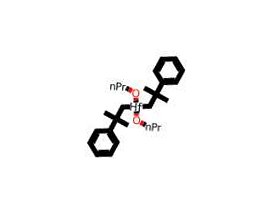 CCC[O][Hf]([CH2]C(C)(C)c1ccccc1)([CH2]C(C)(C)c1ccccc1)[O]CCC